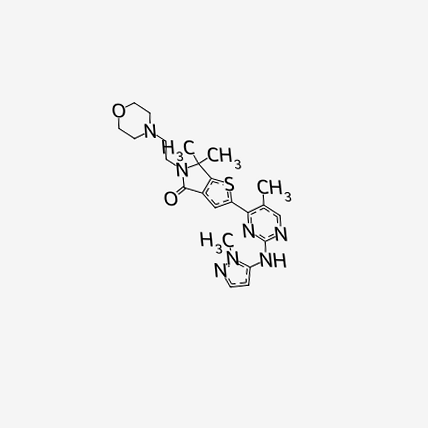 Cc1cnc(Nc2ccnn2C)nc1-c1cc2c(s1)C(C)(C)N(CCN1CCOCC1)C2=O